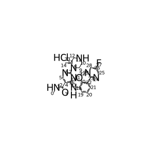 CNC(=O)c1cnc(N2CCNCC2C)nc1Nc1cccc(-c2ncc(F)cn2)c1OC.Cl